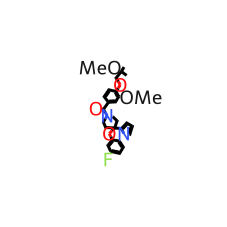 COc1cc(C(=O)N2CCC3(CC2)Oc2cc(F)ccc2-n2cccc23)ccc1OCC(C)(C)OC